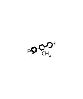 C.Fc1ccc([C@H]2CC[C@H]([C@H]3CC[C@H](I)CC3)CC2)cc1F